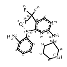 Nc1ccccc1[S@+]([O-])c1nc(N[C@H]2CCCNC2)ncc1C(F)(F)F